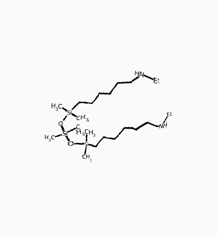 CCNCCCCCC[Si](C)(C)O[Si](C)(C)O[Si](C)(C)CCCCCCNCC